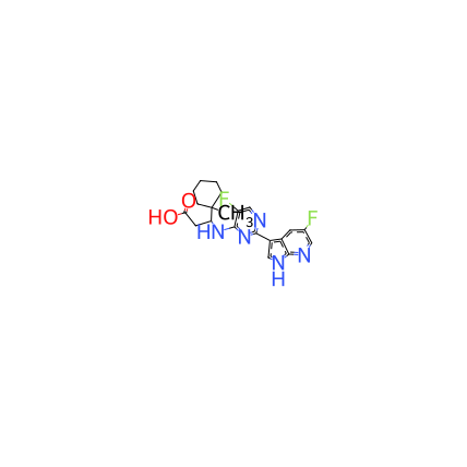 CC1(C(CC(=O)O)Nc2nc(-c3c[nH]c4ncc(F)cc34)ncc2F)CCCCC1